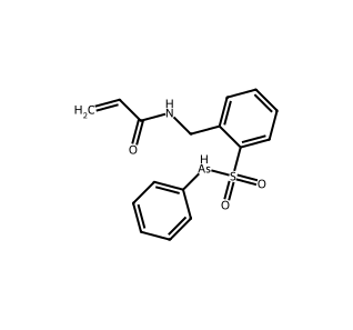 C=CC(=O)NCc1ccccc1S(=O)(=O)[AsH]c1ccccc1